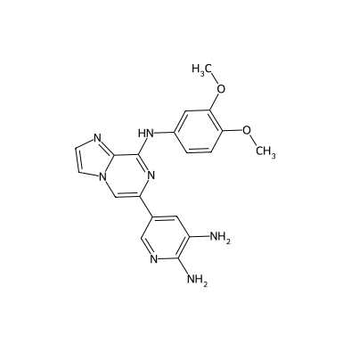 COc1ccc(Nc2nc(-c3cnc(N)c(N)c3)cn3ccnc23)cc1OC